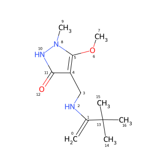 C=C(NCc1c(OC)n(C)[nH]c1=O)C(C)(C)C